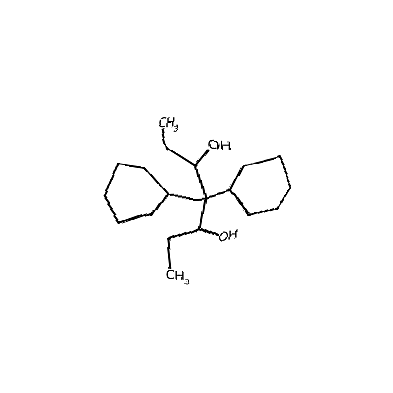 CCC(O)C(C(O)CC)(C1CCCCC1)C1CCCCC1